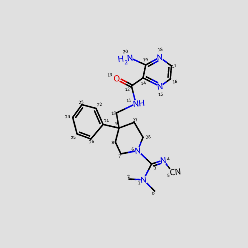 CN(C)/C(=N\C#N)N1CCC(CNC(=O)c2nccnc2N)(c2ccccc2)CC1